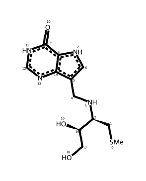 CSC[C@H](NCc1c[nH]c2c(=O)[nH]cnc12)[C@H](O)CO